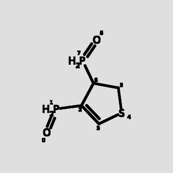 O=[PH2]C1=CSCC1[PH2]=O